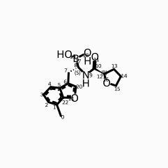 Cc1cccc2c(C[C@@H](NC(=O)[C@H]3CCCO3)B(O)O)coc12